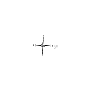 [I][Sn]([I])([I])[I].[KH]